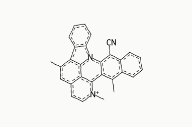 Cc1cc2cc[n+](C)c3c4c(C)c5ccccc5c(C#N)c4n4c5ccccc5c1c4c23